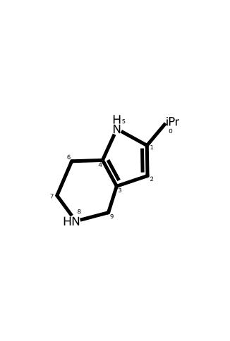 CC(C)c1cc2c([nH]1)CCNC2